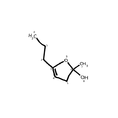 CCCC1=CCC(C)(O)O1